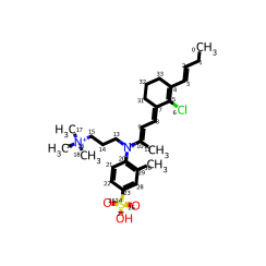 CC/C=C/C1=C(Cl)C(=C/C=C(\C)N(CCC[N+](C)(C)C)c2ccc(S(=O)(=O)O)cc2C)/CCC1